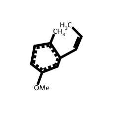 C/C=C\c1cc(OC)ccc1C